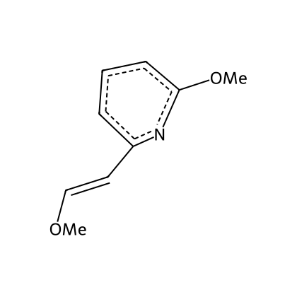 COC=Cc1cccc(OC)n1